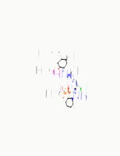 C=C(Nc1ccccc1P(C)(C)=O)/C(Cl)=C\N=C(/C)Nc1cc(C)c(CC)cc1OC